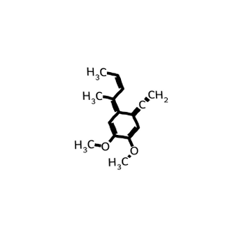 C=C=c1cc(OC)c(OC)c/c1=C(C)/C=C\C